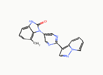 Cc1cccc2[nH]c(=O)n(-c3cnc(-c4cnn5ccccc45)nc3)c12